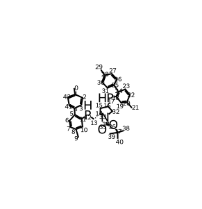 Cc1ccc(-c2ccc(C)cc2PC[C@@H]2C[C@H](Pc3cc(C)ccc3-c3ccc(C)cc3)CN2C(=O)OC(C)(C)C)cc1